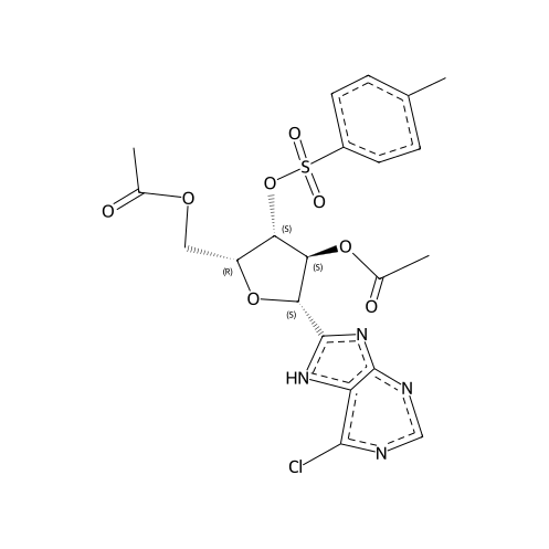 CC(=O)OC[C@H]1O[C@@H](c2nc3ncnc(Cl)c3[nH]2)[C@H](OC(C)=O)[C@H]1OS(=O)(=O)c1ccc(C)cc1